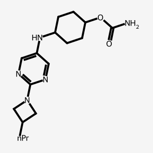 CCCC1CN(c2ncc(NC3CCC(OC(N)=O)CC3)cn2)C1